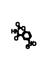 O=c1[nH]c(=O)c2cc([N+](=O)[O-])ccc2o1